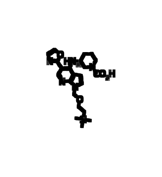 C[Si](C)(C)CCOCn1ccc2c(N[C@@H]3CCCN(C(=O)O)C3)c(-c3ncco3)cnc21